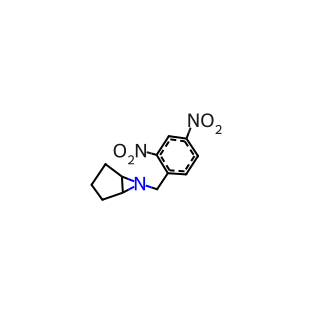 O=[N+]([O-])c1ccc(CN2C3CCCC32)c([N+](=O)[O-])c1